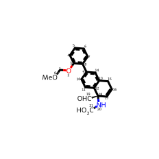 COCOc1ccccc1-c1ccc2c(c1)CC=C[C@]2(C=O)NC(=O)O